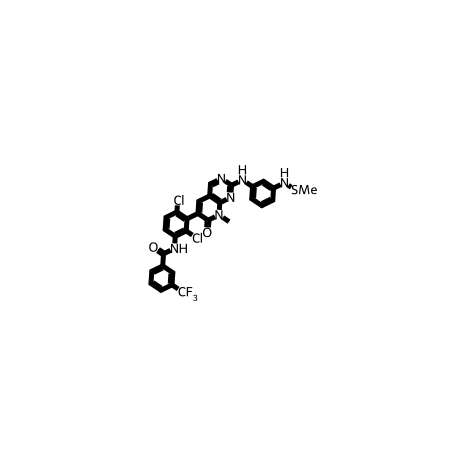 CSNc1cccc(Nc2ncc3cc(-c4c(Cl)ccc(NC(=O)c5cccc(C(F)(F)F)c5)c4Cl)c(=O)n(C)c3n2)c1